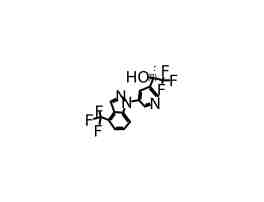 C[C@@](O)(c1cncc(-n2ncc3c(C(F)(F)F)cccc32)c1)C(F)(F)F